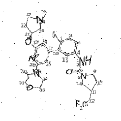 Cc1ccc(NC(=O)N2CCC(CC(F)(F)F)C2)cc1-c1cc(O[C@H]2CCN(C)C2)nc(N2CCOCC2)c1